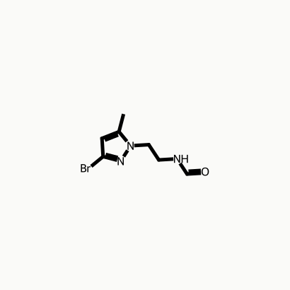 Cc1cc(Br)nn1CCNC=O